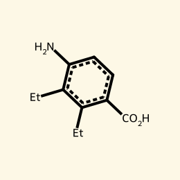 CCc1c(N)ccc(C(=O)O)c1CC